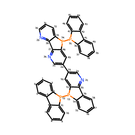 c1ccc2c(c1)c1ccccc1p2-p1c2ccccc2c2ncc(-c3cnc4c5ncccc5p(-p5c6ccccc6c6ccccc65)c4c3)cc21